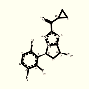 O=C(c1nc2n(n1)[C@H](c1c(F)ccc(F)c1F)C[C@@H]2F)C1CC1